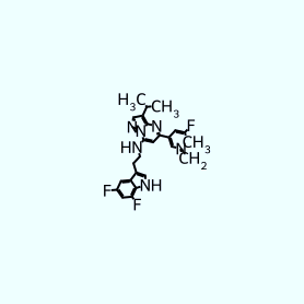 C=N/C=C(\C=C(/C)F)c1cc(NCCc2c[nH]c3c(F)cc(F)cc23)n2ncc(C(C)C)c2n1